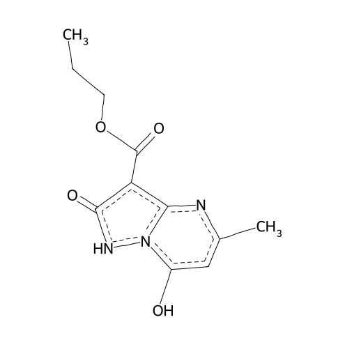 CCCOC(=O)c1c(=O)[nH]n2c(O)cc(C)nc12